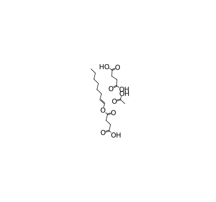 CC(=O)O.CCCCCCC=COC(=O)CCC(=O)O.O=C(O)CCC(=O)O